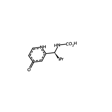 CC(C)[C@H](NC(=O)O)c1cc(=O)cc[nH]1